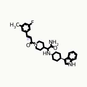 Cc1cc(F)cc(/C=C/C(=O)N2CCC(C(N[C@H]3CC[C@H](c4c[nH]c5ccccc54)CC3)C(N)=O)CC2)c1